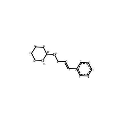 C(=Cc1ccccc1)COC1CCCCO1